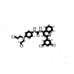 O=C(Nc1ccc(N(CCCl)CCCl)cc1)Nc1cc(-c2cc(Cl)cc(Cl)c2)nc2ccccc12